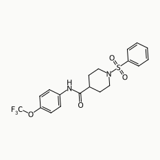 O=C(Nc1ccc(OC(F)(F)F)cc1)C1CCN(S(=O)(=O)c2ccccc2)CC1